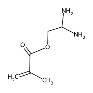 C=C(C)C(=O)OCC(N)N